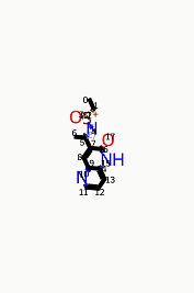 CC[S@@+]([O-])/N=C(\C)c1cc2ncccc2[nH]c1=O